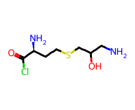 NCC(O)CSCC[C@H](N)C(=O)Cl